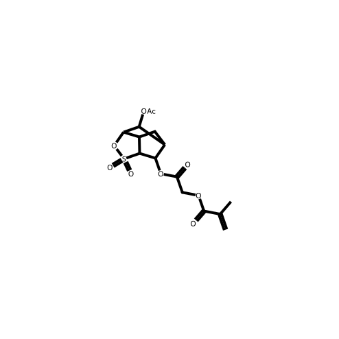 C=C(C)C(=O)OCC(=O)OC1C2CC3C(OS(=O)(=O)C31)C2OC(C)=O